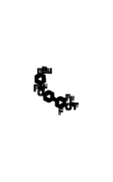 CCCCc1ccc(C(F)(F)Oc2ccc(-c3cc(F)c(OC(F)F)c(F)c3)cc2)cc1